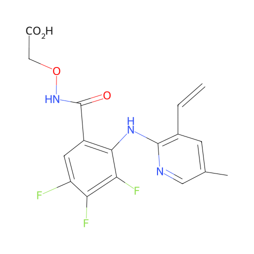 C=Cc1cc(C)cnc1Nc1c(C(=O)NOCC(=O)O)cc(F)c(F)c1F